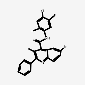 Cc1c(-c2ccccc2)nc2ccc(Br)cc2c1C(=O)Nc1[c]c(F)c(Cl)cc1F